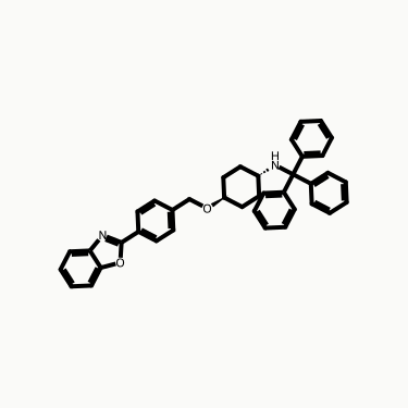 c1ccc(C(N[C@H]2CC[C@H](OCc3ccc(-c4nc5ccccc5o4)cc3)CC2)(c2ccccc2)c2ccccc2)cc1